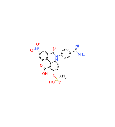 CS(=O)(=O)O.N=C(N)c1ccc(NC(=O)c2cc([N+](=O)[O-])ccc2-c2ccccc2C(=O)O)cc1